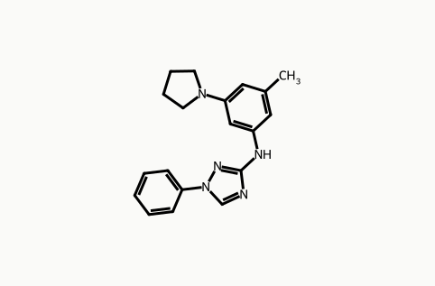 Cc1cc(Nc2ncn(-c3ccccc3)n2)cc(N2CCCC2)c1